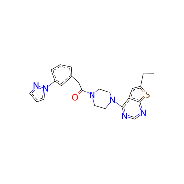 CCc1cc2c(N3CCN(C(=O)Cc4cccc(-n5cccn5)c4)CC3)ncnc2s1